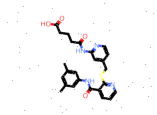 Cc1cc(C)cc(NC(=O)c2cccnc2SCc2ccnc(NC(=O)CCCC(=O)O)c2)c1